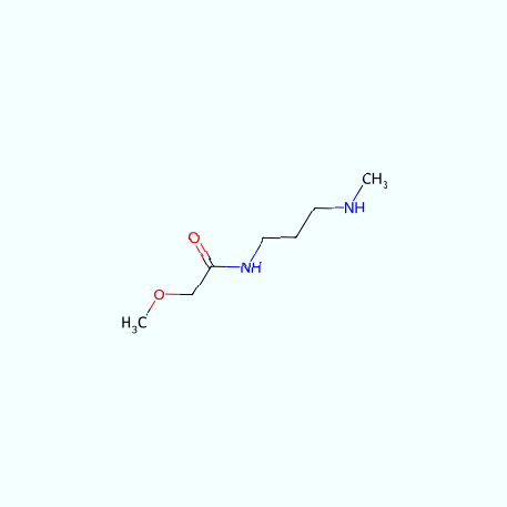 CNCCCNC(=O)COC